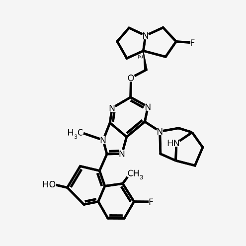 Cc1c(F)ccc2cc(O)cc(-c3nc4c(N5CC6CCC(C5)N6)nc(OC[C@@]56CCCN5CC(F)C6)nc4n3C)c12